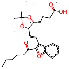 CCCCCC(=O)c1oc2ccccc2c1/C=C/[C@H]1OC(C)(C)O[C@H]1CCCC(=O)O